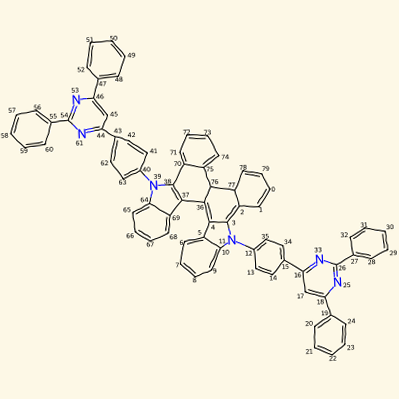 C1=CC2=c3c(c4ccccc4n3-c3ccc(-c4cc(-c5ccccc5)nc(-c5ccccc5)n4)cc3)=C3c4c(n(-c5ccc(-c6cc(-c7ccccc7)nc(-c7ccccc7)n6)cc5)c5ccccc45)-c4ccccc4C3C2C=C1